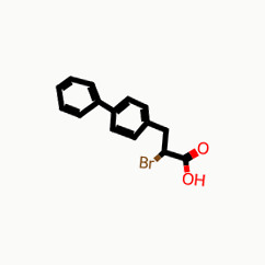 O=C(O)C(Br)Cc1ccc(-c2ccccc2)cc1